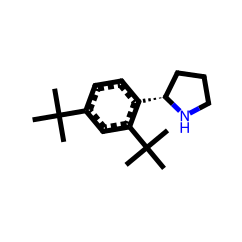 CC(C)(C)c1ccc([C@@H]2CCCN2)c(C(C)(C)C)c1